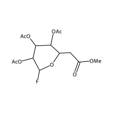 COC(=O)CC1OC(F)C(OC(C)=O)C(OC(C)=O)C1OC(C)=O